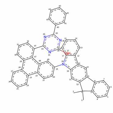 CC1(C)c2ccccc2-c2cc3c4ccccc4n(-c4ccc5c6ccccc6c6cccc(-c7nc(O)nc(-c8ccccc8)n7)c6c5c4)c3cc21